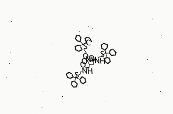 O=C(CC(CC(=O)NCCSC(c1ccccc1)(c1ccccc1)c1ccccc1)C(=O)NOCCSC(c1ccccc1)(c1ccccc1)c1ccccc1)NCCSC(c1ccccc1)(c1ccccc1)c1ccccc1